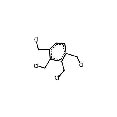 ClCc1ccc(CCl)c(CCl)c1CCl